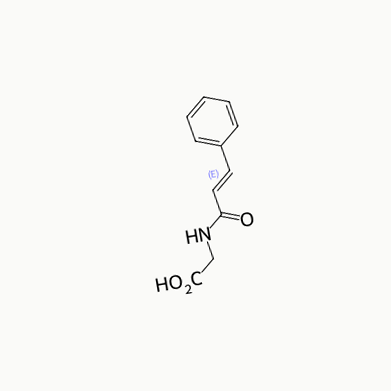 O=C(O)CNC(=O)/C=C/c1ccccc1